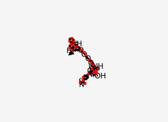 Cc1ncsc1-c1ccc(CNC(=O)C2C[C@@H](O)CN2C(=O)[C@@H](NC(=O)COCCOCCOCCOc2cc(F)c([C@@H]3c4[nH]c5ccccc5c4C[C@@H](C)N3CC3(F)CC3)c(F)c2)C(C)(C)C)cc1